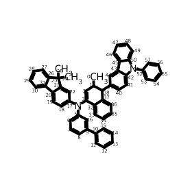 CC1C=C(N(c2cccc(-c3ccccc3)c2)c2ccc3c(c2)C(C)(C)c2ccccc2-3)c2ccccc2C1c1ccc2c(c1)c1ccccc1n2-c1ccccc1